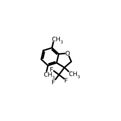 Cc1ccc(C)c2c1OCC2(C)C(F)(F)F